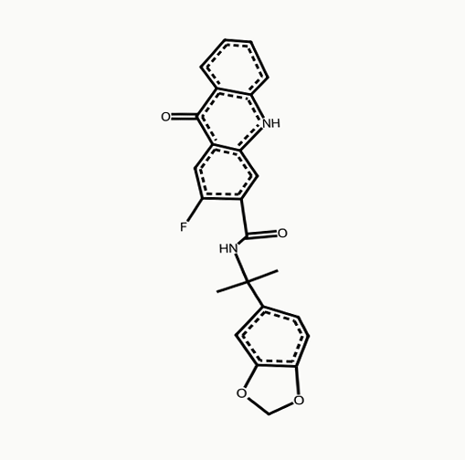 CC(C)(NC(=O)c1cc2[nH]c3ccccc3c(=O)c2cc1F)c1ccc2c(c1)OCO2